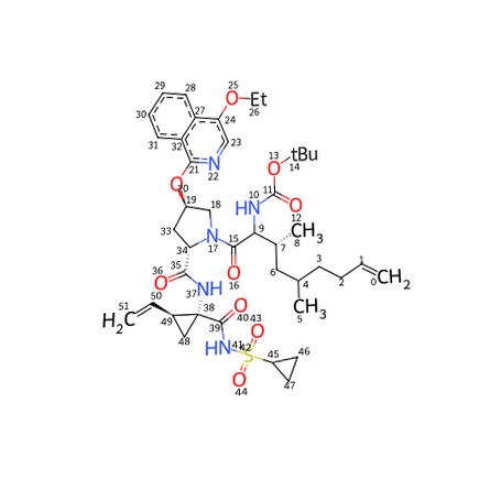 C=CCCC(C)C[C@@H](C)C(NC(=O)OC(C)(C)C)C(=O)N1C[C@H](Oc2ncc(OCC)c3ccccc23)C[C@H]1C(=O)N[C@]1(C(=O)NS(=O)(=O)C2CC2)C[C@H]1C=C